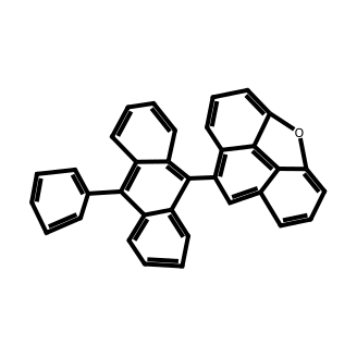 c1ccc(-c2c3ccccc3c(-c3cc4cccc5oc6cccc3c6c45)c3ccccc23)cc1